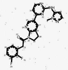 Cn1nccc1Nc1nccc(-c2cnc3c(c2)CCN3C(=O)Cc2cccc(F)c2F)n1